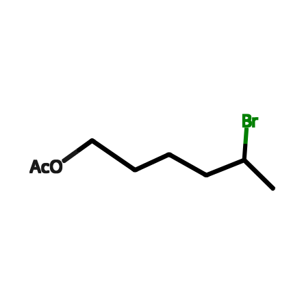 CC(=O)OCCCCC(C)Br